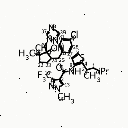 CC(C)CC(C)c1sccc1NC(=O)c1cn(C)nc1C(F)(F)F.CC1(C)CCC(Cc2ccc(Cl)cc2)C1(O)Cn1cncn1